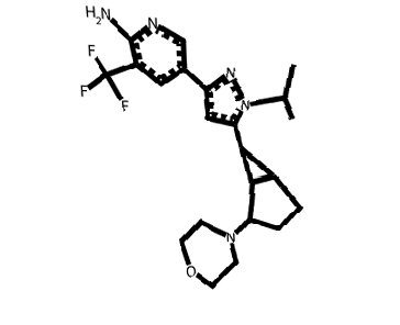 CC(C)n1nc(-c2cnc(N)c(C(F)(F)F)c2)cc1C1C2CCC(N3CCOCC3)C21